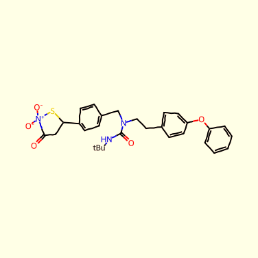 CC(C)(C)NC(=O)N(CCc1ccc(Oc2ccccc2)cc1)Cc1ccc(C2CC(=O)[N+]([O-])([O-])S2)cc1